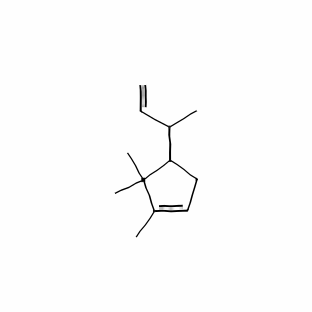 CC1=CCC(C(C)C=O)C1(C)C